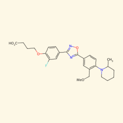 COCc1cc(-c2nc(-c3ccc(OCCCC(=O)O)c(F)c3)no2)ccc1N1CCCCC1C